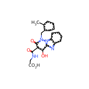 Cc1ccccc1Cn1c(=O)c(C(=O)NCC(=O)O)c(O)c2nc3ccccc3n21